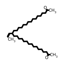 C/C=C\C(CCCCCCCCCCCCCCC(C)=O)CCCCCCCCCCCCCCC(C)=O